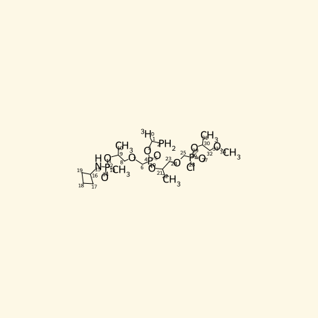 [3H]C(P)OP(=O)(COCC(C)OP(C)(=O)NC1CCC1)OC(C)COCP(=O)(Cl)OC(C)COC